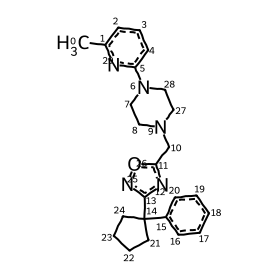 Cc1cccc(N2CCN(Cc3nc(C4(c5ccccc5)CCCC4)no3)CC2)n1